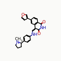 CN1CCCC1c1ccc(NC=C2C(=O)NC(=O)c3ccc(-c4ccoc4)cc32)cc1